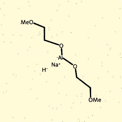 COCC[O][Al][O]CCOC.[H-].[Na+]